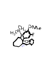 COc1ccc(C2(O)/C(=C\c3ccccc3)CCCCC2CN(C)C)cc1F